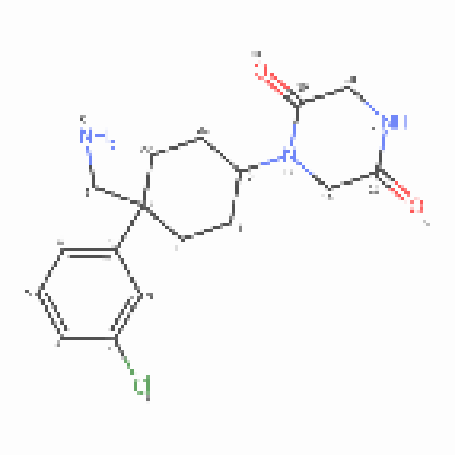 NCC1(c2cccc(Cl)c2)CCC(N2CC(=O)NCC2=O)CC1